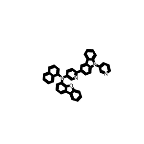 c1cncc(-n2c3ccccc3c3cc(-c4ccc(N(c5cccc6ccccc56)c5cccc6c5oc5ccccc56)cn4)ccc32)c1